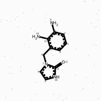 Nc1cccc(Cn2cc[nH]c2=O)c1N